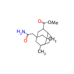 COC(=O)C1CC2(CC(N)=O)CC3(C)CCC1C(C)(C3)C2